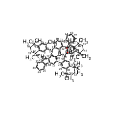 Cc1cc2c(cc1N1c3ccc4c(c3B3c5c(cc6c(oc7ccccc76)c51)-c1cc5c(cc1N3c1ccc3c(c1)C(C)(C)CCC3(C)C)C(C)(C)CCC5(C)C)C(C)(C)c1ccccc1-4)C(C)(C)CCC2(C)C